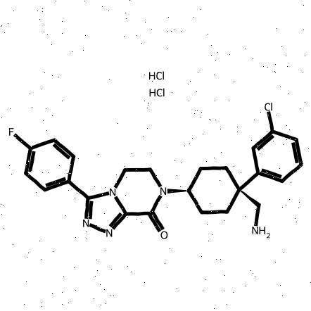 Cl.Cl.NC[C@]1(c2cccc(Cl)c2)CC[C@H](N2CCn3c(nnc3-c3ccc(F)cc3)C2=O)CC1